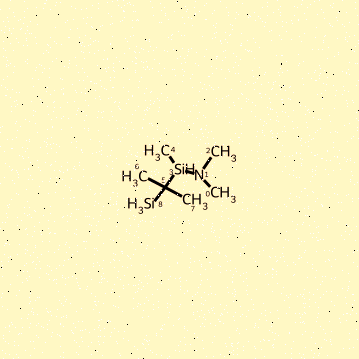 CN(C)[SiH](C)C(C)(C)[SiH3]